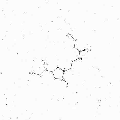 CCC[C@@H](C)NCCN1CC([C@@H](C)CC)CC1=O